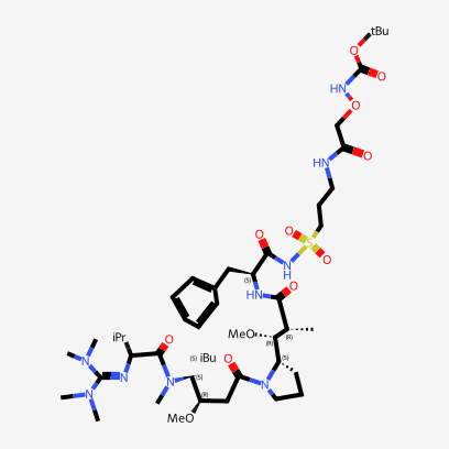 CC[C@H](C)[C@@H]([C@@H](CC(=O)N1CCC[C@H]1[C@H](OC)[C@@H](C)C(=O)N[C@@H](Cc1ccccc1)C(=O)NS(=O)(=O)CCCNC(=O)CONC(=O)OC(C)(C)C)OC)N(C)C(=O)C(N=C(N(C)C)N(C)C)C(C)C